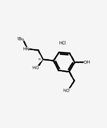 CC(C)(C)NC[C@H](O)c1ccc(O)c(CO)c1.Cl